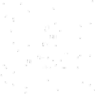 Cl.N.N.N.O=C(O)O